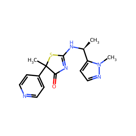 C[C@H](NC1=NC(=O)C(C)(c2ccncc2)S1)c1ccnn1C